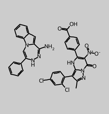 Cc1nn2c(=O)c([N+](=O)[O-])c(-c3ccc(C(=O)O)cc3)[nH]c2c1-c1ccc(Cl)cc1Cl.NC1=NNC(c2ccccc2)=Cn2c1cc1ccccc12